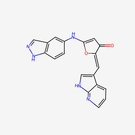 O=C1C=C(Nc2ccc3[nH]ncc3c2)OC1=Cc1c[nH]c2ncccc12